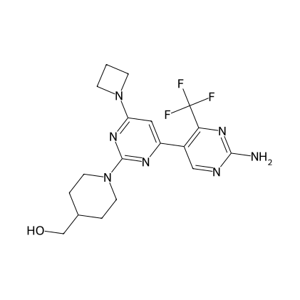 Nc1ncc(-c2cc(N3CCC3)nc(N3CCC(CO)CC3)n2)c(C(F)(F)F)n1